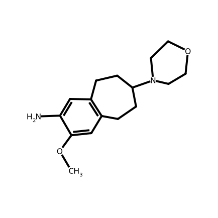 COc1cc2c(cc1N)CCC(N1CCOCC1)CC2